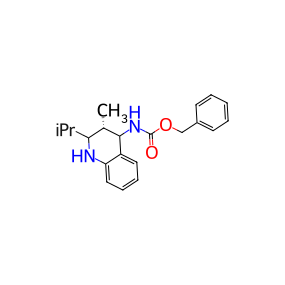 CC(C)C1Nc2ccccc2C(NC(=O)OCc2ccccc2)[C@H]1C